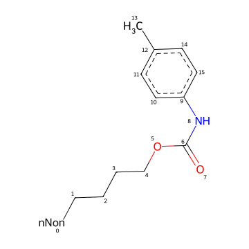 CCCCCCCCCCCCCOC(=O)Nc1ccc(C)cc1